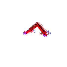 I.I.I.I.I.I.I.I.I.I.NCC(O)CO.NCC(O)CO.[Na+].[O-]B([O-])[O-].[O-]B([O-])[O-].[O-]B([O-])[O-].[O-]B([O-])[O-].[O-]B([O-])[O-].[O-]B([O-])[O-].[O-]B([O-])[O-].[O-]B([O-])[O-].[O-]B([O-])[O-].[O-]B([O-])[O-].[O-]B([O-])[O-].[O-]B([O-])[O-]